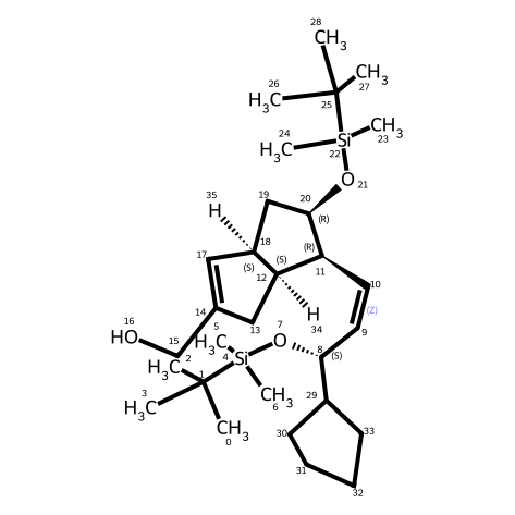 CC(C)(C)[Si](C)(C)O[C@H](/C=C\[C@H]1[C@H]2CC(CO)=C[C@H]2C[C@H]1O[Si](C)(C)C(C)(C)C)C1CCCC1